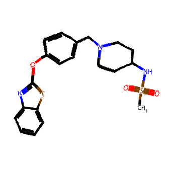 CS(=O)(=O)NC1CCN(Cc2ccc(Oc3nc4ccccc4s3)cc2)CC1